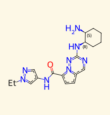 CCn1cc(NC(=O)c2ccc3cnc(N[C@@H]4CCCC[C@@H]4N)nn23)cn1